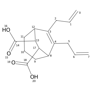 C=CCC1=C(CC=C)C2CCCC1C(C(=O)O)C2C(=O)O